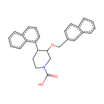 O=C(O)N1CCC(c2cccc3ccccc23)C(OCc2ccc3ccccc3c2)C1